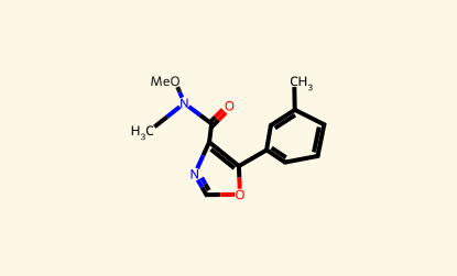 CON(C)C(=O)c1ncoc1-c1cccc(C)c1